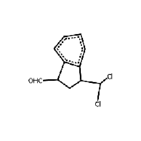 O=CC1CC(C(Cl)Cl)c2ccccc21